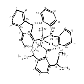 CC(C)c1cccc(C(C)C)c1C(=O)[NH][Zr]([Cl])([Cl])([c]1cccc2c1Cc1ccccc1-2)[SiH](c1ccccc1)c1ccccc1